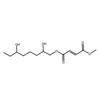 CCC(O)CCCC(O)COC(=O)/C=C/C(=O)OC